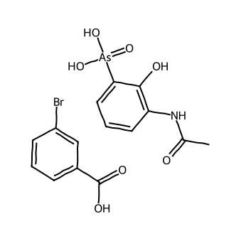 CC(=O)Nc1cccc([As](=O)(O)O)c1O.O=C(O)c1cccc(Br)c1